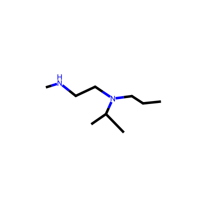 CCCN(CCNC)C(C)C